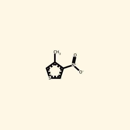 Cc1cs[c]c1[N+](=O)[O-]